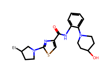 CCC1CCN(c2nc(C(=O)Nc3ccccc3N3CCC(O)CC3)cs2)C1